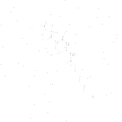 CCCCCCOC(=O)Nc1ccn([C@@H]2O[C@H](CO)[C@@H](O)C2(F)F)c(=O)n1